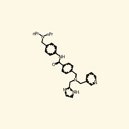 CCCN(CCC)Cc1ccc(NC(=O)c2ccc(CN(Cc3cccnc3)Cc3ncc[nH]3)cc2)cc1